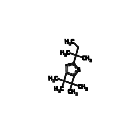 CCC(C)(C)c1cc2c(s1)C(C)(C)C2(C)C